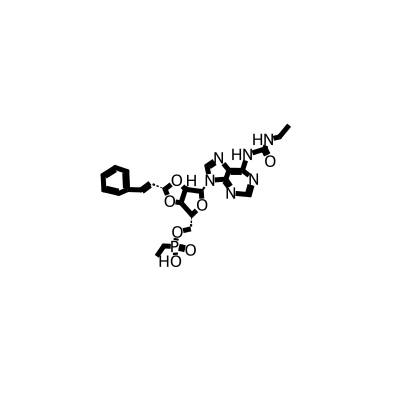 CCNC(=O)Nc1ncnc2c1ncn2[C@@H]1O[C@H](COP(=O)(O)CC)C2O[C@H](/C=C/c3ccccc3)O[C@@H]21